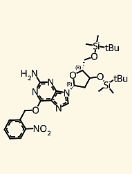 CC(C)(C)[Si](C)(C)OC[C@H]1O[C@@H](n2cnc3c(OCc4ccccc4[N+](=O)[O-])nc(N)nc32)CC1O[Si](C)(C)C(C)(C)C